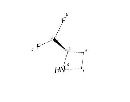 FC(F)[C@H]1CCN1